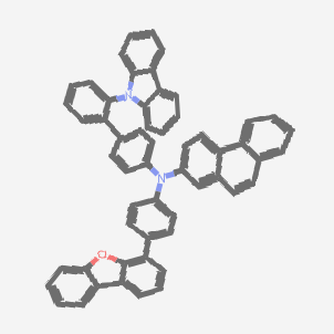 c1ccc(-n2c3ccccc3c3ccccc32)c(-c2ccc(N(c3ccc(-c4cccc5c4oc4ccccc45)cc3)c3ccc4c(ccc5ccccc54)c3)cc2)c1